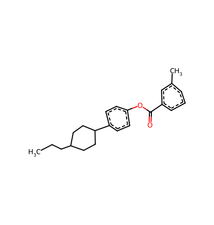 CCCC1CCC(c2ccc(OC(=O)c3cccc(C)c3)cc2)CC1